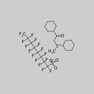 C[S+](CC(=O)C1CCCCC1)C1CCCCC1.O=S(=O)([O-])C(F)(F)C(F)(F)C(F)(F)C(F)(F)C(F)(F)C(F)(F)C(F)(F)C(F)(F)F